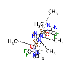 [C-]#[N+]C([N+]#[C-])=C1/C(=C/c2sc3c(sc4c5c6nsnc6c6c7sc8c(CCCCCCCCCCC)c(/C=C9\C(=O)c%10cc(F)c(F)cc%10C9=C(C#N)C#N)sc8c7n(CC(CCCCCC)CCCCCCCC)c6c5n(CC(CCCCCC)CCCCCCCC)c34)c2CCCCCCCCCCC)C(=O)c2cc(F)c(F)cc21